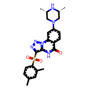 Cc1ccc(S(=O)(=O)c2nnn3c2[nH]c(=O)c2ccc(N4C[C@@H](C)N[C@@H](C)C4)cc23)c(C)c1